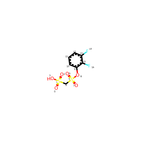 O=S(=O)(O)CS(=O)(=O)Oc1cccc(F)c1F